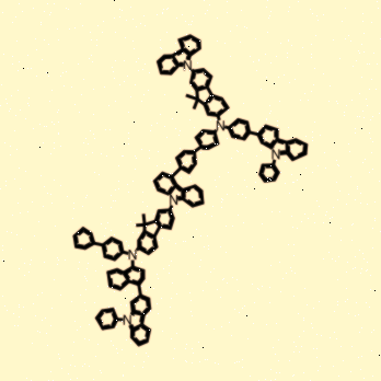 CC1(C)c2cc(N(c3ccc(-c4ccc(-c5cccc6c5c5ccccc5n6-c5ccc6c(c5)C(C)(C)c5cc(N(c7ccc(-c8ccccc8)cc7)c7ccc(-c8ccc9c%10ccccc%10n(-c%10ccccc%10)c9c8)c8ccccc78)ccc5-6)cc4)cc3)c3ccc(-c4ccc5c6ccccc6n(-c6ccccc6)c5c4)cc3)ccc2-c2ccc(-n3c4ccccc4c4ccccc43)cc21